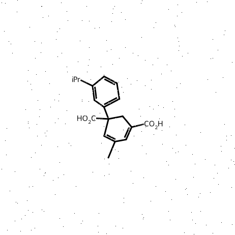 CC1=CC(C(=O)O)(c2cccc(C(C)C)c2)CC(C(=O)O)=C1